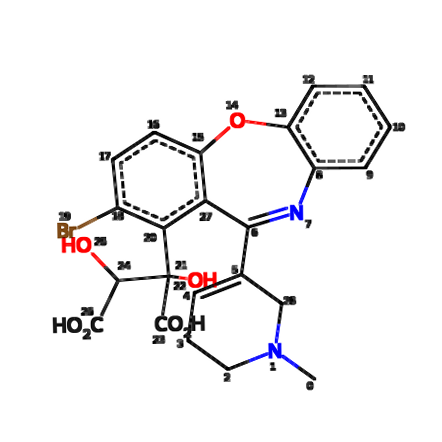 CN1CCC=C(C2=Nc3ccccc3Oc3ccc(Br)c(C(O)(C(=O)O)C(O)C(=O)O)c32)C1